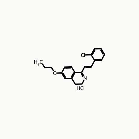 CCCOc1ccc2c(c1)CCN=C2/C=C/c1ccccc1Cl.Cl